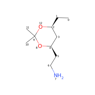 CC[C@H]1C[C@@H](CCN)OC(C)(C)O1